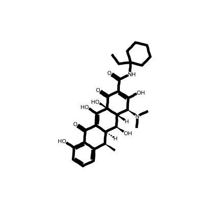 CCC1(NC(=O)C2=C(O)[C@@H](N(C)C)[C@@H]3[C@@H](O)[C@@H]4C(=C(O)[C@]3(O)C2=O)C(=O)c2c(O)cccc2[C@@H]4C)CCCCC1